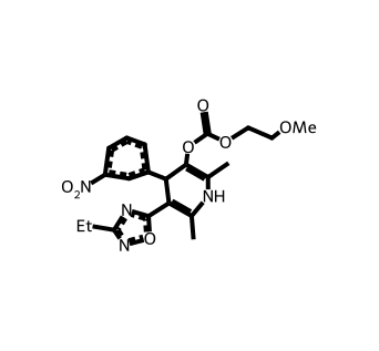 CCc1noc(C2=C(C)NC(C)=C(OC(=O)OCCOC)C2c2cccc([N+](=O)[O-])c2)n1